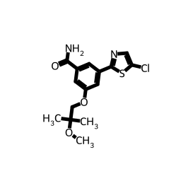 COC(C)(C)COc1cc(C(N)=O)cc(-c2ncc(Cl)s2)c1